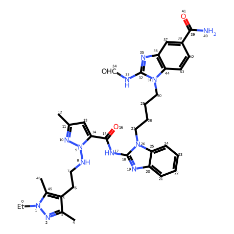 CCn1nc(C)c(CCNn2nc(C)cc2C(=O)Nc2nc3ccccc3n2CCCCn2c(NC=O)nc3cc(C(N)=O)ccc32)c1C